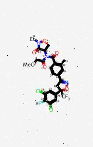 CCN1OCC(N(C(=O)COC)C(=O)c2ccc(C3=NOC(c4cc(Cl)c(F)c(Cl)c4)(C(F)(F)F)C3)cc2C)C1=O